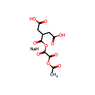 CC(=O)OC(=O)C(=O)OC(=O)C(CC(=O)O)CC(=O)O.[NaH]